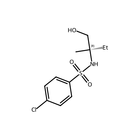 CC[C@](C)(CO)NS(=O)(=O)c1ccc(Cl)cc1